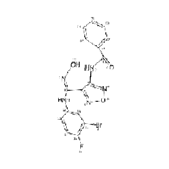 O=C(Nc1nonc1/C(=N\O)Nc1ccc(F)c(Br)c1)c1ccccc1